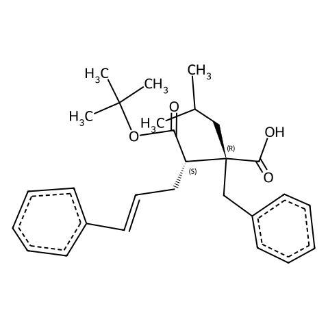 CC(C)C[C@](Cc1ccccc1)(C(=O)O)[C@H](CC=Cc1ccccc1)C(=O)OC(C)(C)C